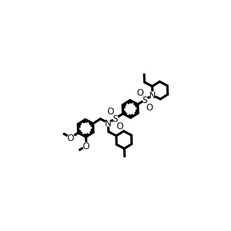 CCC1CCCCN1S(=O)(=O)c1ccc(S(=O)(=O)N(Cc2ccc(OC)c(OC)c2)CC2CCCC(C)C2)cc1